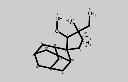 CCC(C)(C)C(OO)C1(CC)C2CC3CC(C2)CC1C3